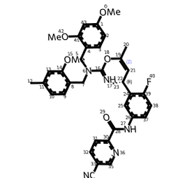 COc1ccc(CN(Cc2ccc(C)cc2OC)C(=N)O/C(C)=C\[C@@H](C)c2cc(NC(=O)c3ccc(C#N)cn3)ccc2F)c(OC)c1